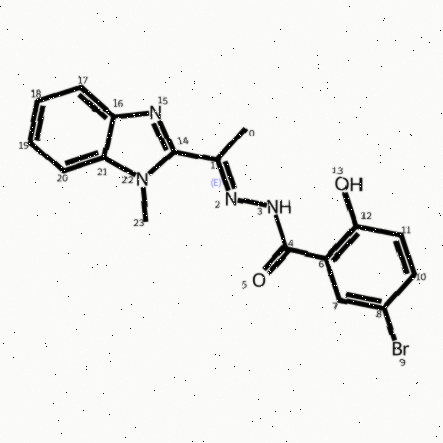 C/C(=N\NC(=O)c1cc(Br)ccc1O)c1nc2ccccc2n1C